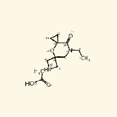 CC(=O)O.CCN1CC2(CNC2)OC2(CC2)C1=O